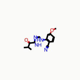 COc1ccc(C#N)c(N/C=N\C(=N)C(=O)C(C)C)c1